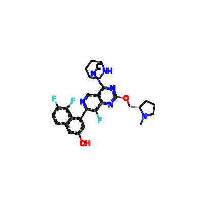 CN1CCC[C@H]1COc1nc(N2CC3CCC2CN3)c2cnc(-c3cc(O)cc4ccc(F)c(F)c34)c(F)c2n1